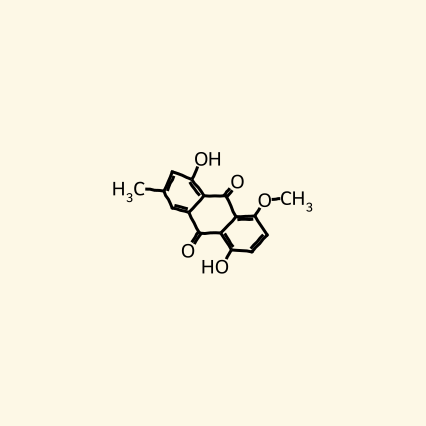 COc1ccc(O)c2c1C(=O)c1c(O)cc(C)cc1C2=O